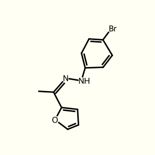 C/C(=N/Nc1ccc(Br)cc1)c1ccco1